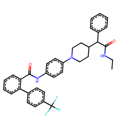 CCNC(=O)C(c1ccccc1)C1CCN(c2ccc(NC(=O)c3ccccc3-c3ccc(C(F)(F)F)cc3)cc2)CC1